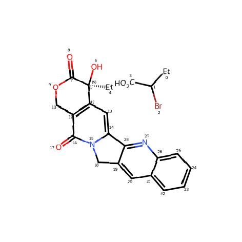 CCC(Br)C(=O)O.CC[C@@]1(O)C(=O)OCc2c1cc1n(c2=O)Cc2cc3ccccc3nc2-1